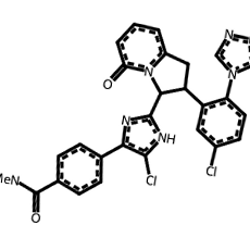 CNC(=O)c1ccc(-c2nc(C3C(c4cc(Cl)ccc4-n4cnnn4)Cc4cccc(=O)n43)[nH]c2Cl)cc1